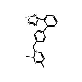 CC1=NC(C)N(Cc2ccc(-c3ccccc3-c3nn[nH]n3)cc2)C=C1